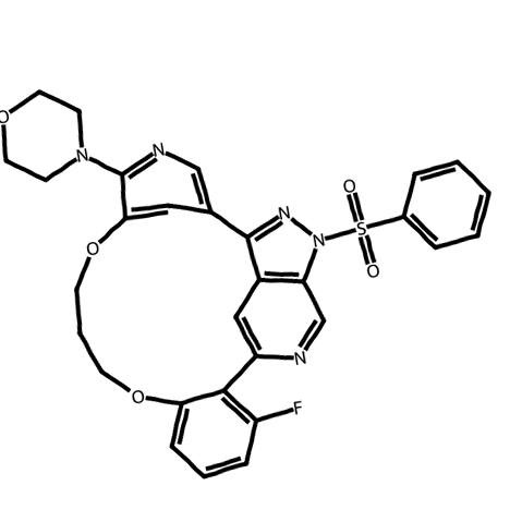 O=S(=O)(c1ccccc1)n1nc2c3cc(ncc31)-c1c(F)cccc1OCCCOc1cc-2cnc1N1CCOCC1